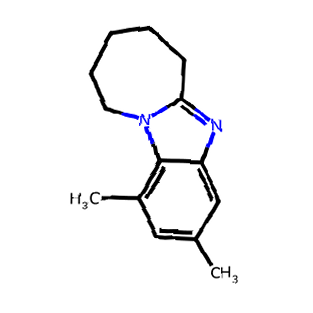 Cc1cc(C)c2c(c1)nc1n2CCCCC1